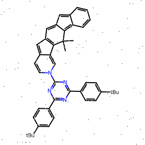 CC(C)(C)c1ccc(-c2nc(-c3ccc(C(C)(C)C)cc3)nc(-n3ccc4cc5c(c-4c3)C(C)(C)C3=c4ccccc4=CC3=C5)n2)cc1